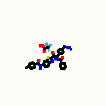 Cc1ccc(C(=O)Nc2ccc3nc(C(=O)C(NC(=O)c4ccccc4)c4ccc(CN)cc4)sc3c2)cc1.O=C(O)C(F)(F)F